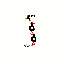 CCCCCCCCCOc1ccc(C(=O)Oc2ccc(C(=O)OCC(F)CCCCCCCC)cc2)cc1